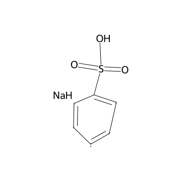 O=S(=O)(O)c1cc[c]cc1.[NaH]